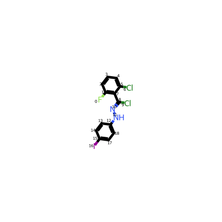 Fc1cccc(Cl)c1C(Cl)=NNc1ccc(I)cc1